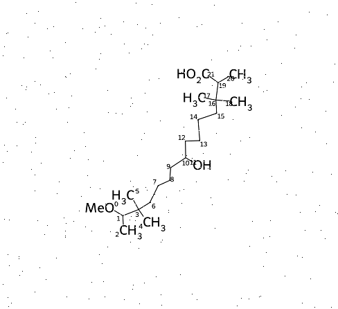 COC(C)C(C)(C)CCCCC(O)CCCCC(C)(C)C(C)C(=O)O